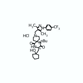 CCCCN1C(=O)[C@@H](CC2(O)CCCCC2)NC(=O)C12CCN(Cc1c(C)nn(-c3ccc(C(F)(F)F)cc3)c1C)CC2.Cl